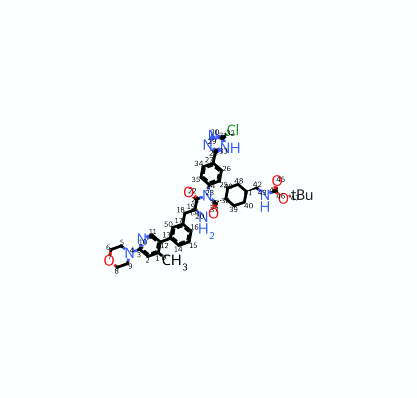 Cc1cc(N2CCOCC2)ncc1-c1cccc(C[C@H](N)C(=O)N(c2ccc(-c3nnc(Cl)[nH]3)cc2)C(=O)[C@H]2CC[C@H](CNC(=O)OC(C)(C)C)CC2)c1